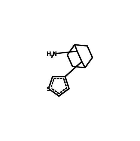 NC1C2CCC(CC2)C1c1ccsc1